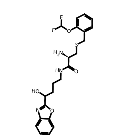 N[C@@H](CSCc1ccccc1OC(F)F)C(=O)NCCCC(O)c1nc2ccccc2o1